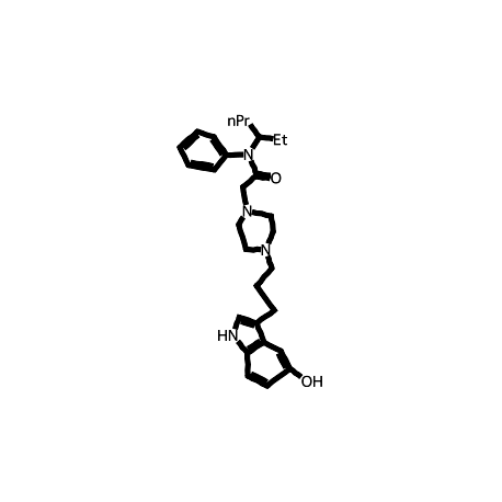 CCCC(CC)N(C(=O)CN1CCN(CCCc2c[nH]c3ccc(O)cc23)CC1)c1ccccc1